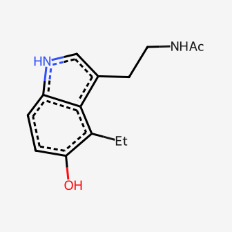 CCc1c(O)ccc2[nH]cc(CCNC(C)=O)c12